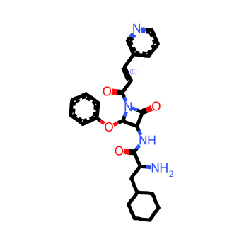 NC(CC1CCCCC1)C(=O)NC1C(=O)N(C(=O)/C=C/c2cccnc2)C1Oc1ccccc1